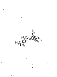 CC(=O)Oc1c(C)cc(OCC(C)=Cc2ccc(C(C)C)cc2)cc1C